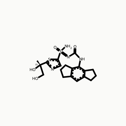 C[C@](O)(CO)c1ncc(S(N)(=O)=NC(=O)Nc2c3c(cc4c2CCC4)CCC3)s1